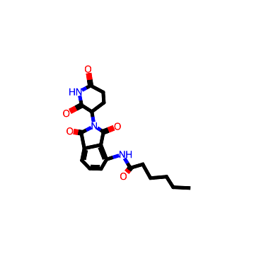 CCCCCC(=O)Nc1cccc2c1C(=O)N(C1CCC(=O)NC1=O)C2=O